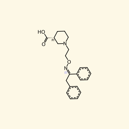 O=C(O)[C@@H]1CCCN(CCO/N=C(/Cc2ccccc2)c2ccccc2)C1